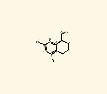 COC1CCCc2c(Cl)nc(Cl)nc21